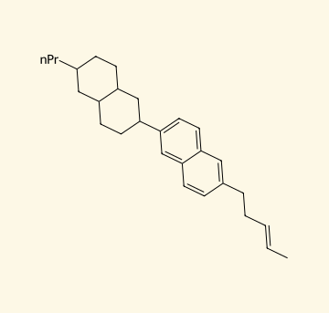 CC=CCCc1ccc2cc(C3CCC4CC(CCC)CCC4C3)ccc2c1